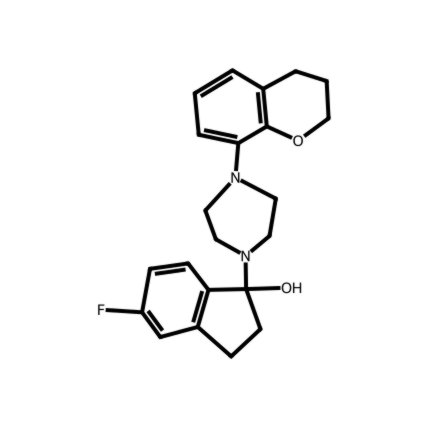 OC1(N2CCN(c3cccc4c3OCCC4)CC2)CCc2cc(F)ccc21